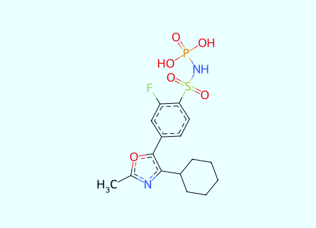 Cc1nc(C2CCCCC2)c(-c2ccc(S(=O)(=O)NP(=O)(O)O)c(F)c2)o1